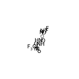 O=C(NCCNC(=O)[C@H]1CC[C@H](c2nnc(C3CC3(F)F)o2)CC1)c1cn(-c2ccccc2)nc1C(F)(F)F